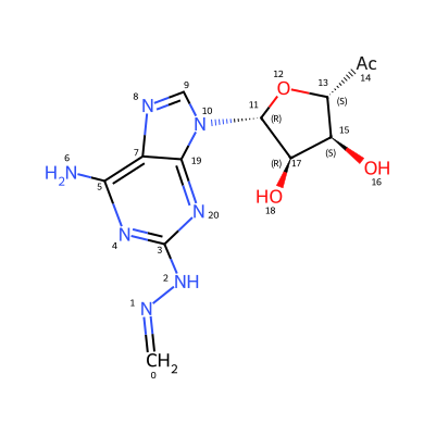 C=NNc1nc(N)c2ncn([C@@H]3O[C@H](C(C)=O)[C@@H](O)[C@H]3O)c2n1